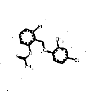 CCc1ccc(OCc2c(CC)cccc2OC(C)=S)c(C)c1